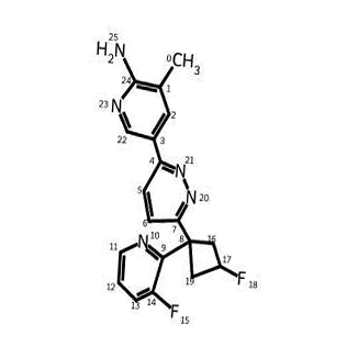 Cc1cc(-c2ccc(C3(c4ncccc4F)CC(F)C3)nn2)cnc1N